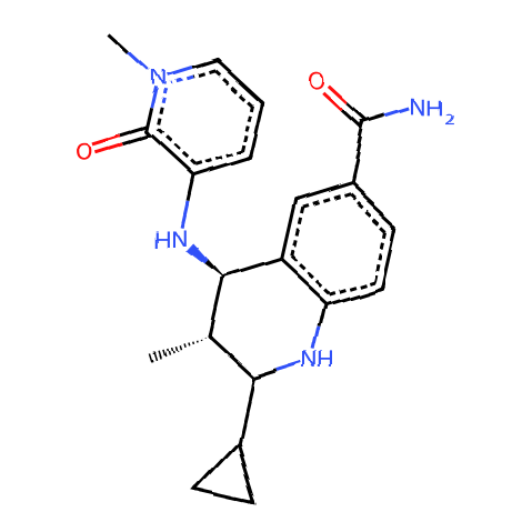 C[C@H]1C(C2CC2)Nc2ccc(C(N)=O)cc2[C@@H]1Nc1cccn(C)c1=O